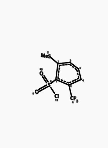 CSc1cccc(C(F)(F)F)c1S(=O)(=O)Cl